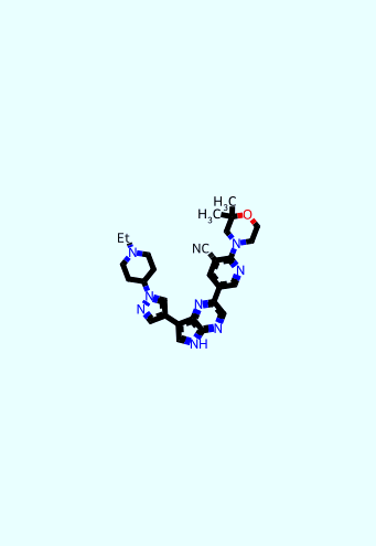 CCN1CCC(n2cc(-c3c[nH]c4ncc(-c5cnc(N6CCOC(C)(C)C6)c(C#N)c5)nc34)cn2)CC1